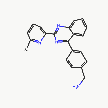 Cc1cccc(-c2nc(-c3ccc(CN)cc3)c3ccccc3n2)n1